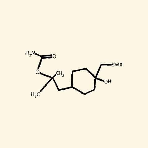 CSCC1(O)CCC(CC(C)(C)OC(N)=O)CC1